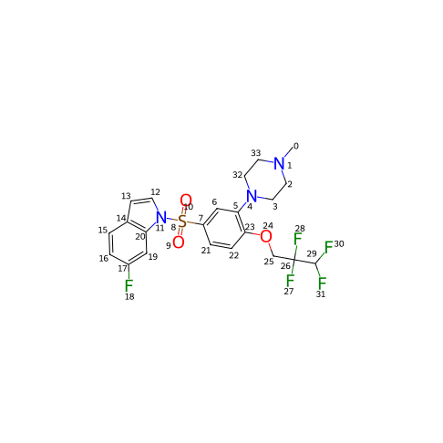 CN1CCN(c2cc(S(=O)(=O)n3ccc4ccc(F)cc43)ccc2OCC(F)(F)C(F)F)CC1